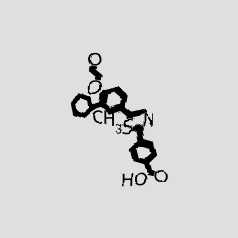 CC1(c2cc(-c3cnc(-c4ccc(C(=O)O)cc4)s3)ccc2OCC=O)CCCCC1